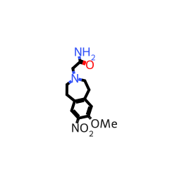 COc1cc2c(cc1[N+](=O)[O-])CCN(CC(N)=O)CC2